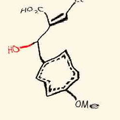 CCC=C(C(=O)O)C(O)c1ccc(OC)cc1